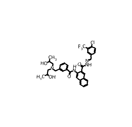 CC(O)CN(Cc1cccc(C(=O)Nc2cc3ccccc3cc2C(=O)N/N=C/c2ccc(Cl)c(C(F)(F)F)c2)c1)CC(C)O